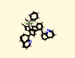 CC1=Cc2c(-c3cccc4cccnc34)cccc2[CH]1[Zr]([Cl])([Cl])([CH]1C(C)=Cc2c(-c3cccc4cccnc34)cccc21)[SiH](C)c1ccccc1